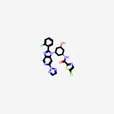 O=C(N[C@H]1C[C@H](O)C[C@@H](n2c(-c3ccccc3F)nc3cnc(-n4nccn4)cc32)C1)c1ncc(Cl)s1